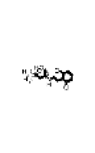 CC(C)(C)CC(CO)NCCc1c(Cl)cccc1Cl